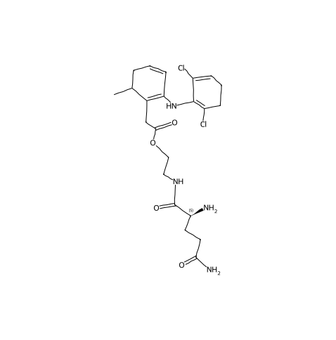 CC1CC=CC(NC2=C(Cl)CCC=C2Cl)=C1CC(=O)OCCNC(=O)[C@@H](N)CCC(N)=O